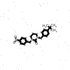 CC(C)(C)c1ccc(CN2CCCN(Cc3ccc([N+](=O)[O-])cc3)C2=O)cc1